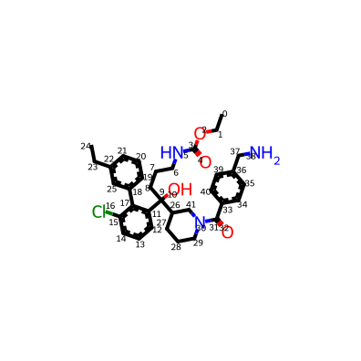 CCOC(=O)NCCCC(O)(c1cccc(Cl)c1-c1cccc(CC)c1)C1CCCN(C(=O)c2ccc(CN)cc2)C1